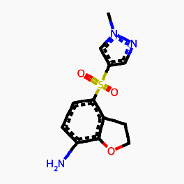 Cn1cc(S(=O)(=O)c2ccc(N)c3c2CCO3)cn1